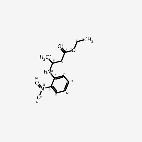 CCOC(=O)CC(C)Nc1ccccc1[N+](=O)[O-]